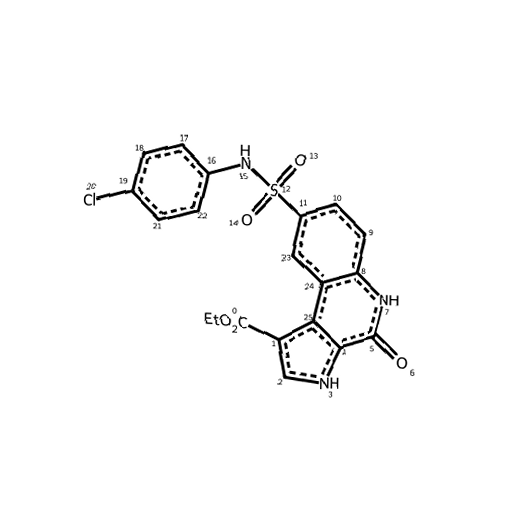 CCOC(=O)c1c[nH]c2c(=O)[nH]c3ccc(S(=O)(=O)Nc4ccc(Cl)cc4)cc3c12